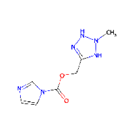 CN1NN=C(COC(=O)n2ccnc2)N1